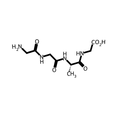 C[C@H](NC(=O)CNC(=O)CN)C(=O)NCC(=O)O